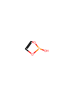 OP1OC=CO1